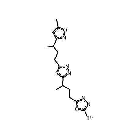 Cc1cc(C(C)CCc2nnc(C(C)CCc3nnc(C(C)C)o3)s2)no1